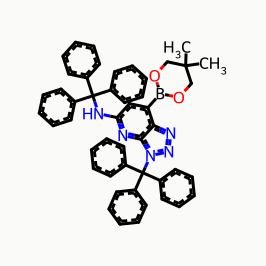 CC1(C)COB(c2cc(NC(c3ccccc3)(c3ccccc3)c3ccccc3)nc3c2nnn3C(c2ccccc2)(c2ccccc2)c2ccccc2)OC1